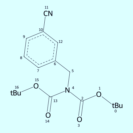 CC(C)(C)OC(=O)N(Cc1cccc(C#N)c1)C(=O)OC(C)(C)C